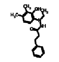 CCN(NC(=O)CCc1ccccc1)c1ccc(C)c(C)c1O